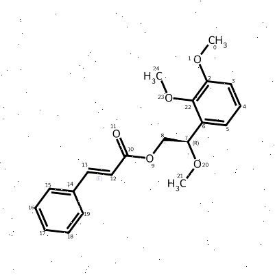 COc1cccc([C@H](COC(=O)/C=C/c2ccccc2)OC)c1OC